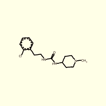 CN1CCC(NC(=O)NCCc2ccccc2Cl)CC1